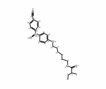 CCC(C)C(=O)OCCCCCCOc1cc[c]([Co](=[O])[c]2ccc(C#N)cc2)cc1